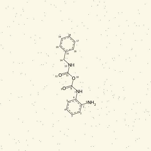 Nc1ccccc1NC(=O)OC(=O)NCc1ccccc1